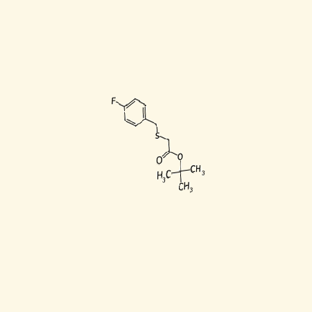 CC(C)(C)OC(=O)CSCc1ccc(F)cc1